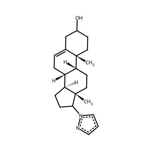 C[C@]12CCC(O)CC1=CC[C@@H]1[C@H]2CC[C@]2(C)C(n3cccn3)CC[C@@H]12